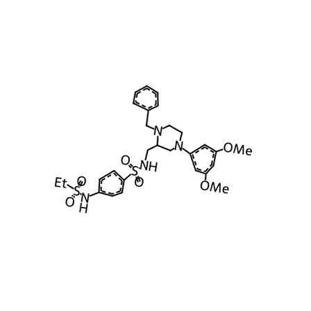 CCS(=O)(=O)Nc1ccc(S(=O)(=O)NCC2CN(c3cc(OC)cc(OC)c3)CCN2Cc2ccccc2)cc1